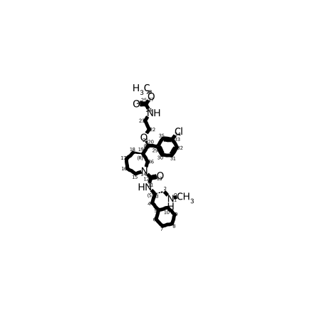 CNC[C@H](CC1CCCCC1)NC(=O)N1CCCC[C@@H]([C@@H](OCCNC(=O)OC)c2cccc(Cl)c2)C1